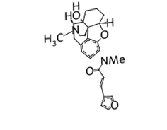 CN1CC[C@]23c4c5cccc4O[C@H]2CCC[C@@]3(O)[C@H]1C5.CNC(=O)/C=C/c1ccoc1